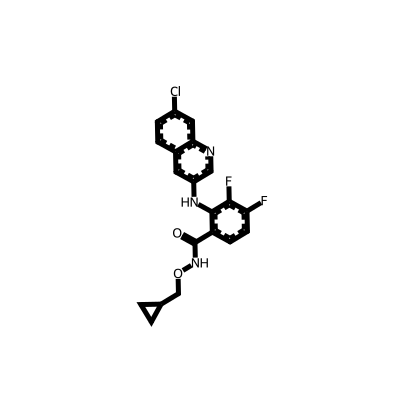 O=C(NOCC1CC1)c1ccc(F)c(F)c1Nc1cnc2cc(Cl)ccc2c1